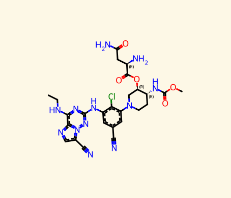 CCNc1nc(Nc2cc(C#N)cc(N3CC[C@@H](NC(=O)OC)[C@H](OC(=O)[C@H](N)CC(N)=O)C3)c2Cl)nn2c(C#N)cnc12